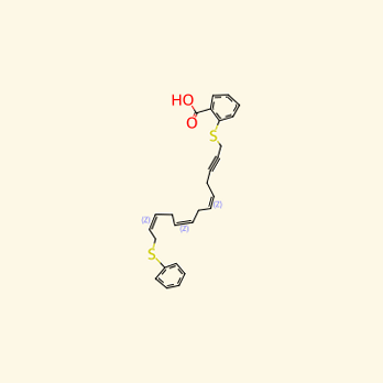 O=C(O)c1ccccc1SCC#CC/C=C\C/C=C\C/C=C\CSc1ccccc1